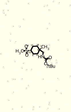 CC(C)(C)OC(=O)NC[C@]1(C)CC[C@@H](S(C)(=O)=O)CC1